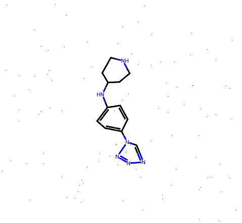 c1cc(-n2cnnn2)ccc1NC1CCNCC1